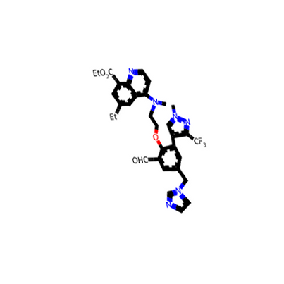 CCOC(=O)c1cc(CC)cc2c(N(C)CCOc3c(C=O)cc(Cn4ccnc4)cc3-c3cn(C)nc3C(F)(F)F)ccnc12